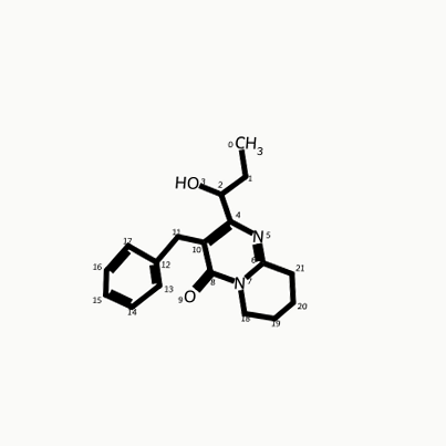 CCC(O)c1nc2n(c(=O)c1Cc1ccccc1)CCCC2